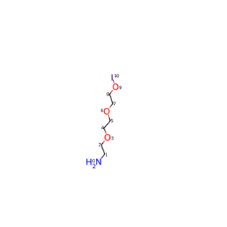 NCCOCCOCCOI